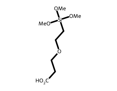 CO[Si](CCOCCC(=O)O)(OC)OC